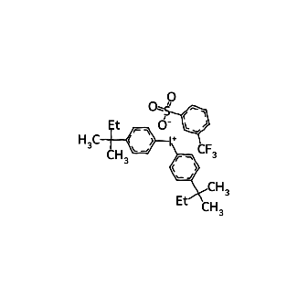 CCC(C)(C)c1ccc([I+]c2ccc(C(C)(C)CC)cc2)cc1.O=S(=O)([O-])c1cccc(C(F)(F)F)c1